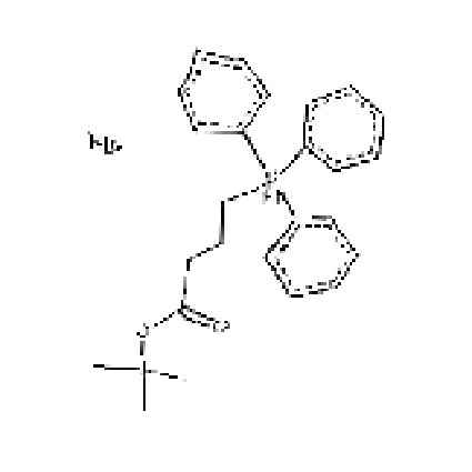 Br.CC(C)(C)OC(=O)CCC[PH](c1ccccc1)(c1ccccc1)c1ccccc1